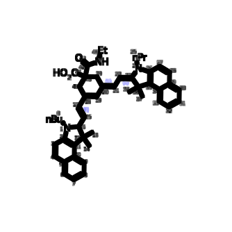 CCCCN1c2ccc3ccccc3c2C(C)(C)C1/C=C/C1=CC(=C/C=C2/N(CCC)c3ccc4ccccc4c3C2(C)C)/CC(C(=O)O)(C(=O)NCC)C1